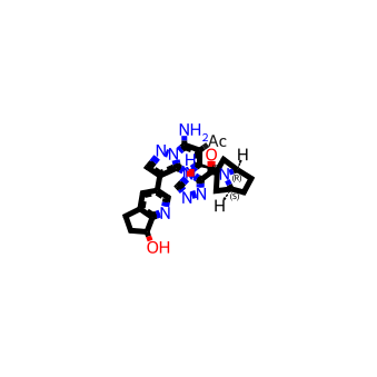 CC(=O)c1c([C@H]2C[C@H]3CC[C@@H](C2)N3C(=O)c2nnc[nH]2)nc2c(-c3cnc4c(c3)CCC4O)cnn2c1N